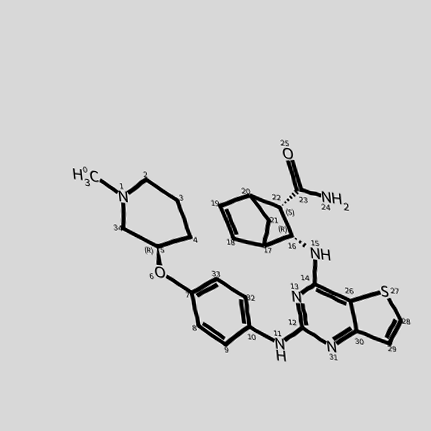 CN1CCC[C@@H](Oc2ccc(Nc3nc(N[C@@H]4C5C=CC(C5)[C@@H]4C(N)=O)c4sccc4n3)cc2)C1